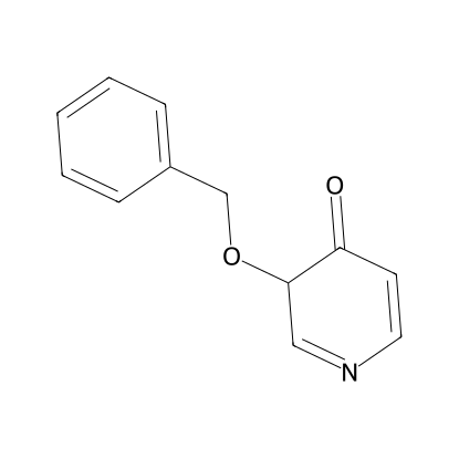 O=C1C=CN=CC1OCc1ccccc1